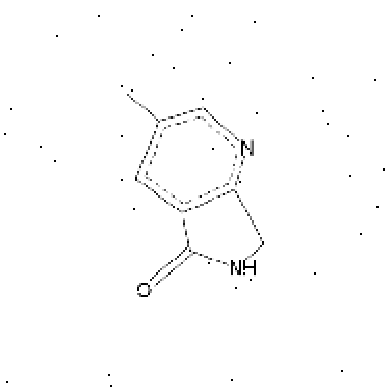 Cc1cnc2c(c1)C(=O)NC2